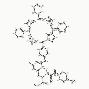 COC(=O)C1Cc2nc(C)nc(Oc3ccc(-c4c5nc(c(-c6ccccc6)c6ccc([nH]6)c(-c6ccccc6)c6nc(c(-c7ccccc7)c7ccc4[nH]7)C=C6)C=C5)cc3)c2CC1C(=O)Nc1ccc([N+](=O)[O-])cc1